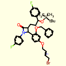 CC(C)(C)[Si](C)(C)OC(CCC1C(=O)N(c2ccc(F)cc2)C1c1ccc(OC/C=C/CBr)cc1OCc1ccccc1)c1ccc(F)cc1